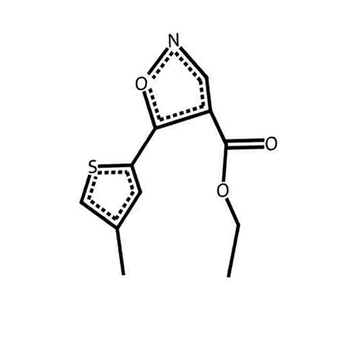 CCOC(=O)c1cnoc1-c1cc(C)cs1